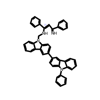 N=C(/C=C(\NCn1c2ccccc2c2cc(-c3ccc4c(c3)c3ccccc3n4-c3ccccc3)ccc21)c1ccccc1)c1ccccc1